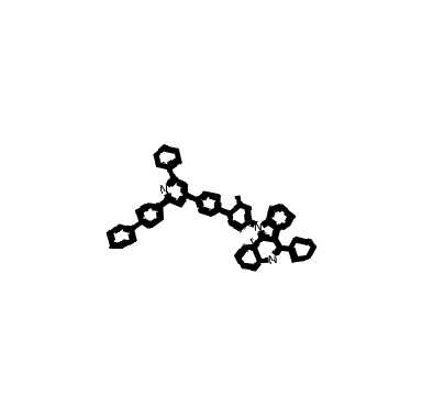 CC1C=C(n2c3c(c4ccccc42)C(C2=CCCC=C2)=NC2C=CC=C[C@@]32C)C=CC1c1ccc(-c2cc(C3=CC=CCC3)nc(-c3ccc(-c4ccccc4)cc3)c2)cc1